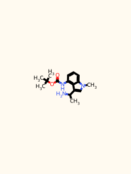 CC(N)c1cn(C)c2cccc(NC(=O)OC(C)(C)C)c12